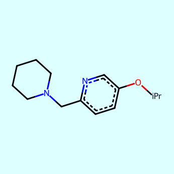 CC(C)Oc1ccc(CN2CCCCC2)nc1